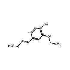 CCOc1cc(/C=C/CO)ccc1O